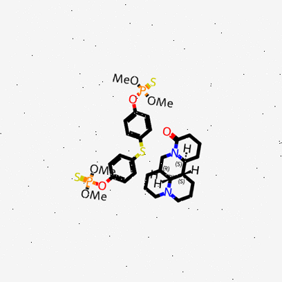 COP(=S)(OC)Oc1ccc(Sc2ccc(OP(=S)(OC)OC)cc2)cc1.O=C1CCC[C@H]2[C@@H]3CCCN4CCC[C@H](CN12)[C@H]34